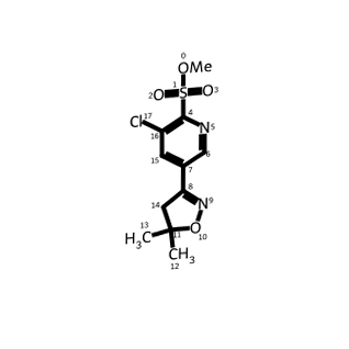 COS(=O)(=O)c1ncc(C2=NOC(C)(C)C2)cc1Cl